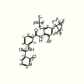 O=C(Nc1c(Br)cc(C(F)(C(F)(F)F)C(F)(F)F)cc1SC(F)(F)F)c1cccc(NC(=O)c2cccnc2Cl)c1